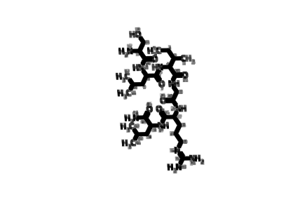 CCC(C)C(NC(=O)C(CC(C)C)NC(=O)C(N)CO)C(=O)NCC(=O)NC(CCCN=C(N)N)C(=O)NC(CC(C)C)C(N)=O